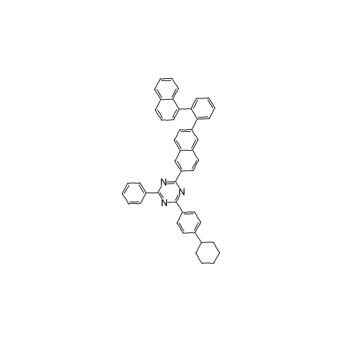 c1ccc(-c2nc(-c3ccc(C4CCCCC4)cc3)nc(-c3ccc4cc(-c5ccccc5-c5cccc6ccccc56)ccc4c3)n2)cc1